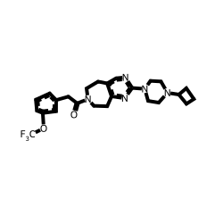 O=C(Cc1cccc(OC(F)(F)F)c1)N1CCc2cnc(N3CCN(C4CCC4)CC3)nc2CC1